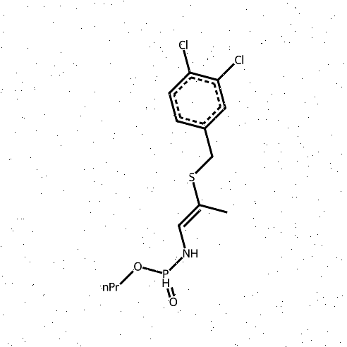 CCCO[PH](=O)N/C=C(\C)SCc1ccc(Cl)c(Cl)c1